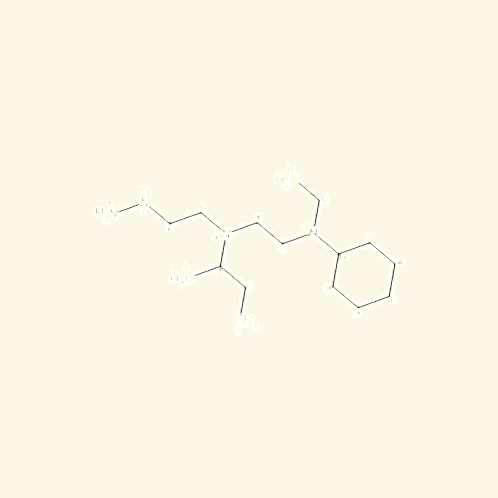 CCC(C)N(CCNN)CCN(CC)C1CCCCC1